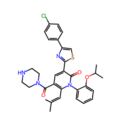 CC(C)=Cc1c(C(=O)N2CCNCC2)cc(-c2nc(-c3ccc(Cl)cc3)cs2)c(=O)n1-c1ccccc1OC(C)C